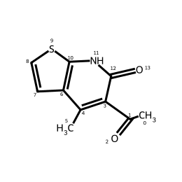 CC(=O)c1c(C)c2ccsc2[nH]c1=O